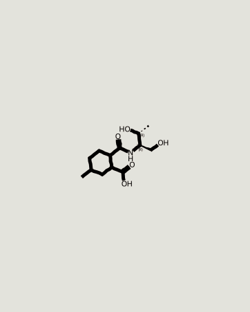 CC1CCC(C(=O)N[C@H](CO)[C@@H](C)O)C(C(=O)O)C1